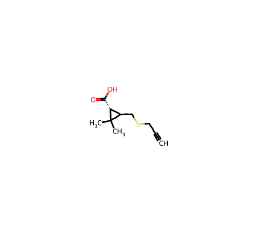 C#CCSCC1[C@@H](C(=O)O)C1(C)C